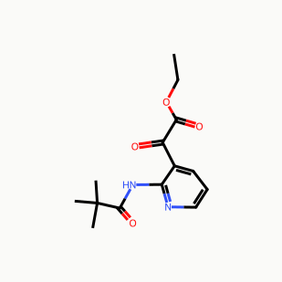 CCOC(=O)C(=O)c1cccnc1NC(=O)C(C)(C)C